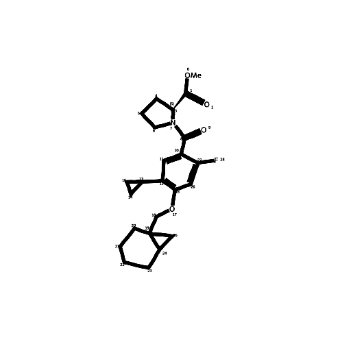 COC(=O)[C@@H]1CCCN1C(=O)c1cc(C2CC2)c(OCC23CCCCC2C3)cc1F